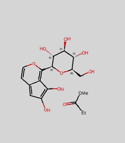 CCC(=O)OC.OC[C@H]1O[C@@H](c2occc3cc(O)c(O)c2-3)[C@H](O)[C@@H](O)[C@@H]1O